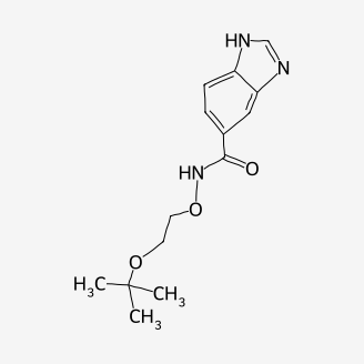 CC(C)(C)OCCONC(=O)c1ccc2[nH]cnc2c1